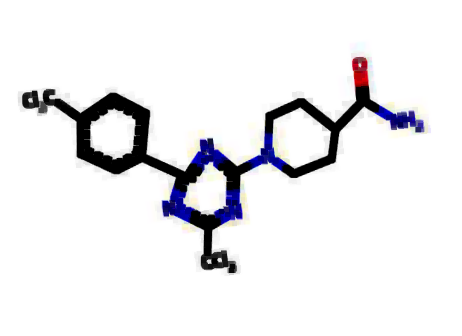 NC(=O)C1CCN(c2nc(-c3ccc(C(Cl)(Cl)Cl)cc3)nc(C(Cl)(Cl)Cl)n2)CC1